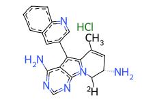 Cl.[2H]C1[C@@H](N)C=C(C)c2c(-c3cnc4ccccc4c3)c3c(N)ncnc3n21